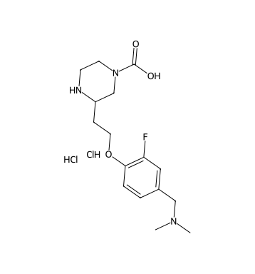 CN(C)Cc1ccc(OCCC2CN(C(=O)O)CCN2)c(F)c1.Cl.Cl